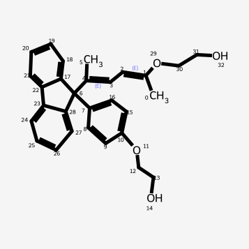 C/C(=C\C=C(/C)C1(c2ccc(OCCO)cc2)c2ccccc2-c2ccccc21)OCCO